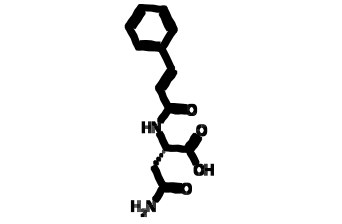 NC(=O)C[C@H](NC(=O)/C=C/c1ccccc1)C(=O)O